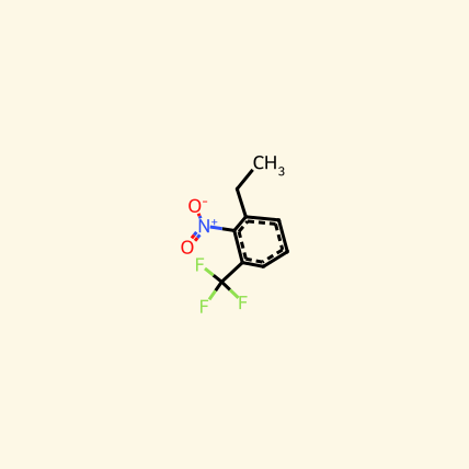 CCc1cccc(C(F)(F)F)c1[N+](=O)[O-]